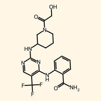 NC(=O)c1ccccc1Nc1nc(NC2CCCN(C(=O)CO)C2)ncc1C(F)(F)F